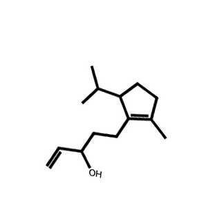 C=CC(O)CCC1=C(C)CCC1C(C)C